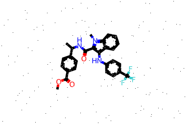 COC(=O)c1ccc(C(C)NC(=O)c2c(Nc3ccc(C(F)(F)F)cc3)c3ccccc3n2C)cc1